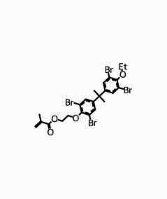 C=C(C)C(=O)OCCOc1c(Br)cc(C(C)(C)c2cc(Br)c(OCC)c(Br)c2)cc1Br